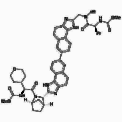 CCCN(Cc1nc2ccc3cc(-c4ccc5c(ccc6nc([C@@H]7[C@H]8CC[C@H](C8)N7C(=O)[C@@H](NC(=O)OC)C7CCOCC7)[nH]c65)c4)ccc3c2[nH]1)C(=O)[C@@H](NC(=O)OC)C(C)C